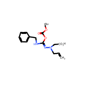 C=CCN(CC(=O)O)N=C(NCc1ccccc1)OC(=O)OC(C)(C)C